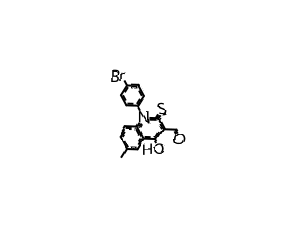 Cc1ccc2c(c1)c(O)c(C=O)c(=S)n2-c1ccc(Br)cc1